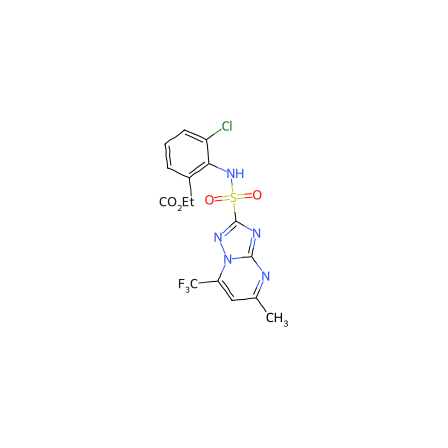 CCOC(=O)c1cccc(Cl)c1NS(=O)(=O)c1nc2nc(C)cc(C(F)(F)F)n2n1